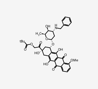 COc1cccc2c1C(=O)c1c(O)c3c(c(O)c1C2=O)C[C@@](O)(C(=O)COC(=O)C(C)(C)C)C[C@@H]3O[C@H]1C[C@@H](NCc2ccccc2)[C@H](O)[C@H](C)O1